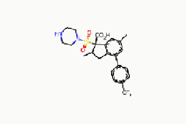 Cc1cc(-c2ccc(C(F)(F)F)cc2)c2c(c1)C(C(=O)O)(S(=O)(=O)N1CCNCC1)C(C)C2